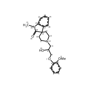 COc1ccccc1OCC(O)CN1CCC2(CC1)C(=O)N(C)c1ccccc12